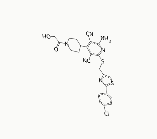 N#Cc1c(N)nc(SCc2csc(-c3ccc(Cl)cc3)n2)c(C#N)c1C1CCN(C(=O)CO)CC1